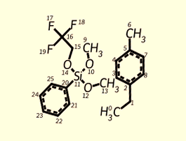 CCc1ccc(C)cc1.CO[Si](OC)(OCC(F)(F)F)c1ccccc1